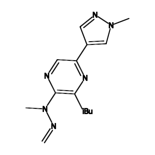 C=NN(C)c1ncc(-c2cnn(C)c2)nc1C(C)CC